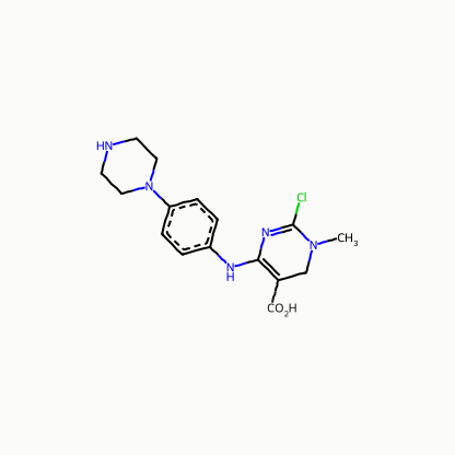 CN1CC(C(=O)O)=C(Nc2ccc(N3CCNCC3)cc2)N=C1Cl